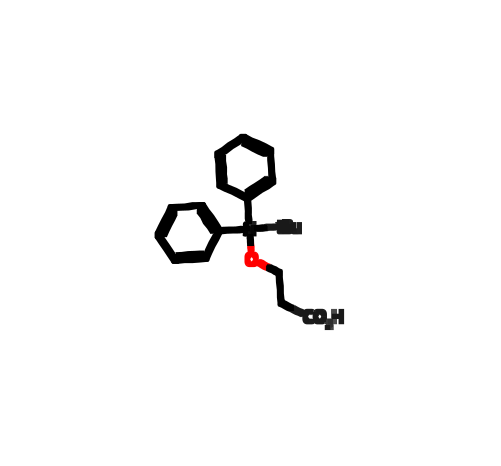 CC(C)(C)[Si](OCCC(=O)O)(c1ccccc1)c1ccccc1